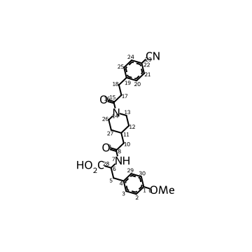 COc1ccc(CC(NC(=O)CC2CCN(C(=O)CCc3ccc(C#N)cc3)CC2)C(=O)O)cc1